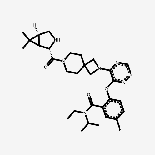 CCN(C(=O)c1cc(F)ccc1Oc1nncnc1N1CC2(CCN(C(=O)[C@H]3NC[C@H]4C3C4(C)C)CC2)C1)C(C)C